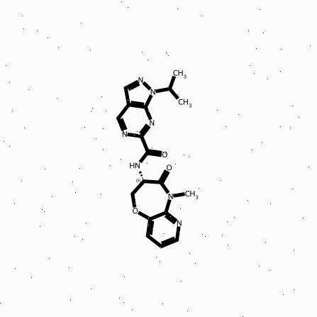 CC(C)n1ncc2cnc(C(=O)N[C@H]3COc4cccnc4N(C)C3=O)nc21